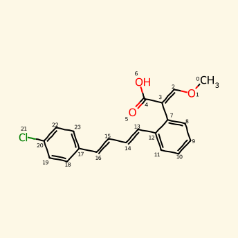 CO/C=C(/C(=O)O)c1ccccc1C=C/C=C/c1ccc(Cl)cc1